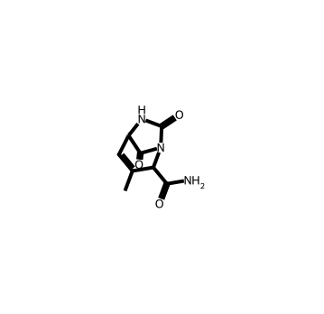 CC1=CC2NC(=O)N(C2=O)C1C(N)=O